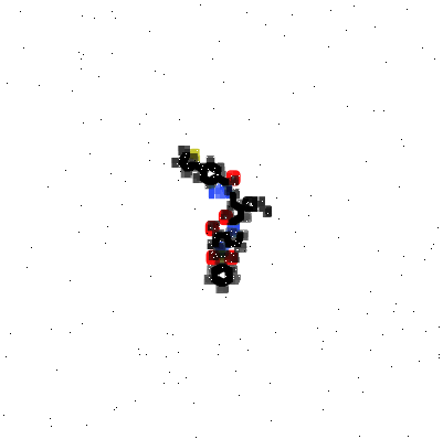 CC(CCNC(=O)c1ccc(-c2cccs2)cc1)CC(=O)N1CCC2C1C(=O)CN2S(=O)(=O)c1ccccc1